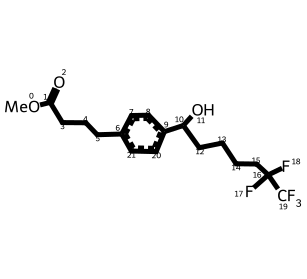 COC(=O)CCCc1ccc(C(O)CCCCC(F)(F)C(F)(F)F)cc1